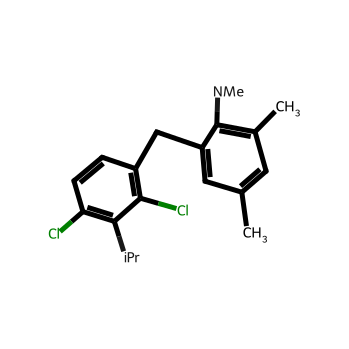 CNc1c(C)cc(C)cc1Cc1ccc(Cl)c(C(C)C)c1Cl